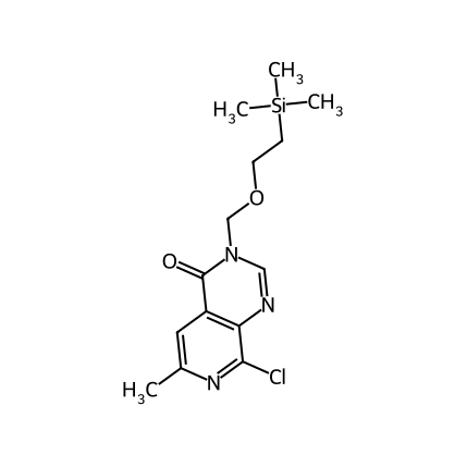 Cc1cc2c(=O)n(COCC[Si](C)(C)C)cnc2c(Cl)n1